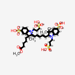 COC(=O)CCCC[C@]1(C)/C(=C/C=C/C=C/[C]2N(CCCS(=O)(=O)O)c3ccc(S(=O)(=O)O)cc3C2(C)C)N(CCCS(=O)(=O)O)c2ccc(S(=O)(=O)O)cc21